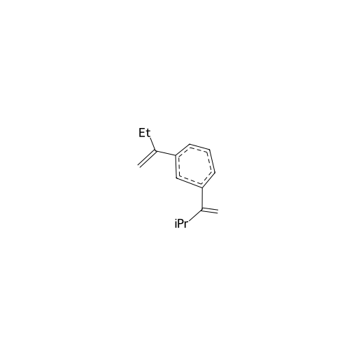 C=C(CC)c1cccc(C(=C)C(C)C)c1